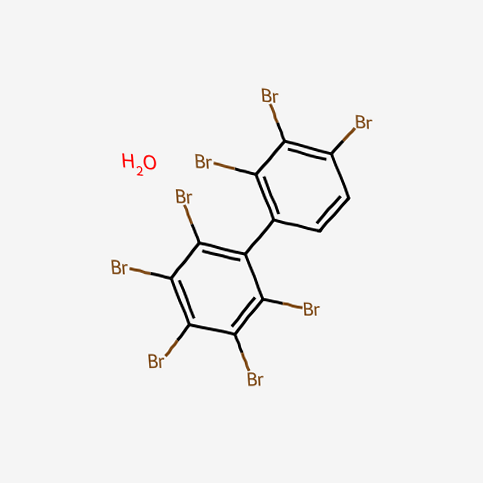 Brc1ccc(-c2c(Br)c(Br)c(Br)c(Br)c2Br)c(Br)c1Br.O